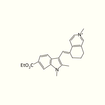 CCOC(=O)c1ccc2c(/C=C3\CCCc4c[n+](C)ccc43)c(C)n(C)c2c1